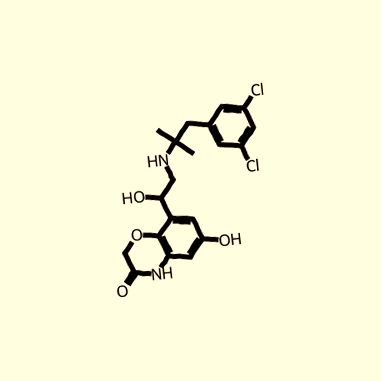 CC(C)(Cc1cc(Cl)cc(Cl)c1)NCC(O)c1cc(O)cc2c1OCC(=O)N2